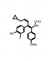 COc1ccc(/C(NC=O)=C(/C=C\CC2CC2)c2ccc(C#N)c(F)c2)cc1